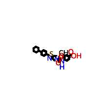 COc1cc(C(=O)O)ccc1NS(=O)(=O)N1Cc2nc(-c3ccc(C4CCCCC4)cc3)sc2C1